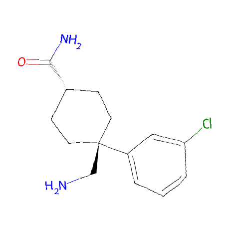 NC[C@]1(c2cccc(Cl)c2)CC[C@@H](C(N)=O)CC1